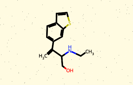 C=C(c1ccc2ccsc2c1)C(CO)NCC